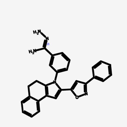 N/N=C(\N)c1cccc(-n2c(-c3cc(-c4ccccc4)no3)cc3c2CCc2ccccc2-3)c1